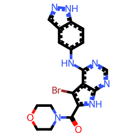 O=C(c1[nH]c2ncnc(Nc3ccc4[nH]ncc4c3)c2c1Br)N1CCOCC1